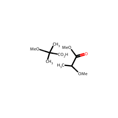 COC(=O)C(C)OC.COC(C)(C)C(=O)O